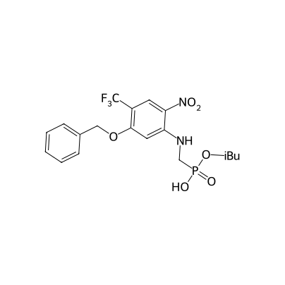 CCC(C)OP(=O)(O)CNc1cc(OCc2ccccc2)c(C(F)(F)F)cc1[N+](=O)[O-]